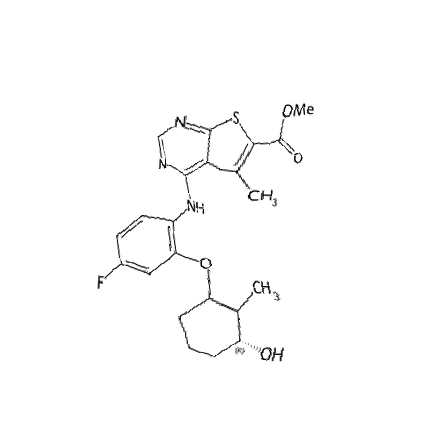 COC(=O)c1sc2ncnc(Nc3ccc(F)cc3OC3CCC[C@@H](O)C3C)c2c1C